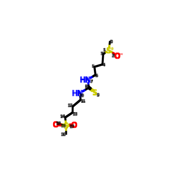 C[S+]([O-])CCCCNC(=S)NCCCCS(C)(=O)=O